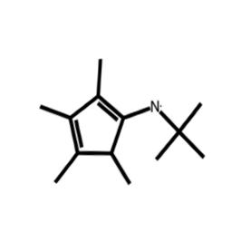 CC1=C(C)C(C)C([N]C(C)(C)C)=C1C